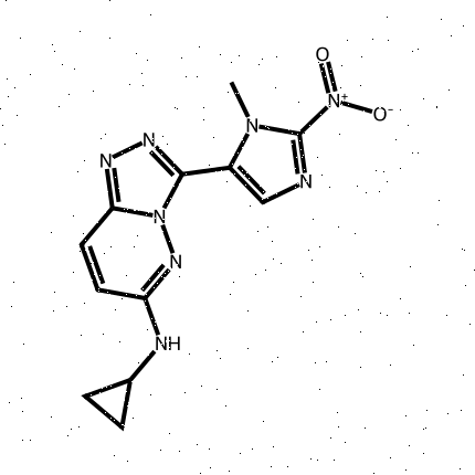 Cn1c(-c2nnc3ccc(NC4CC4)nn23)cnc1[N+](=O)[O-]